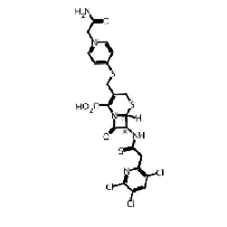 NC(=O)C[n+]1ccc(SCC2=C(C(=O)O)N3C(=O)[C@H](NC(=S)Cc4nc(Cl)c(Cl)cc4Cl)[C@H]3SC2)cc1